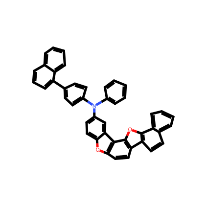 c1ccc(N(c2ccc(-c3cccc4ccccc34)cc2)c2ccc3oc4ccc5c6ccc7ccccc7c6oc5c4c3c2)cc1